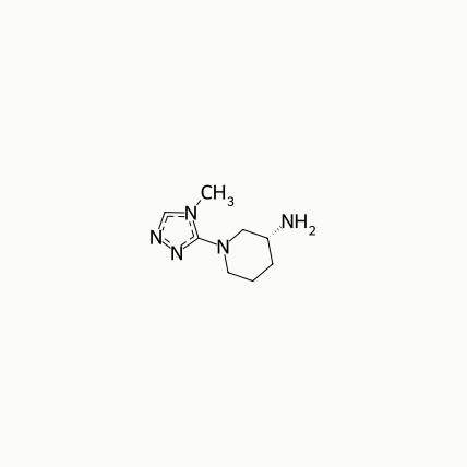 Cn1cnnc1N1CCC[C@@H](N)C1